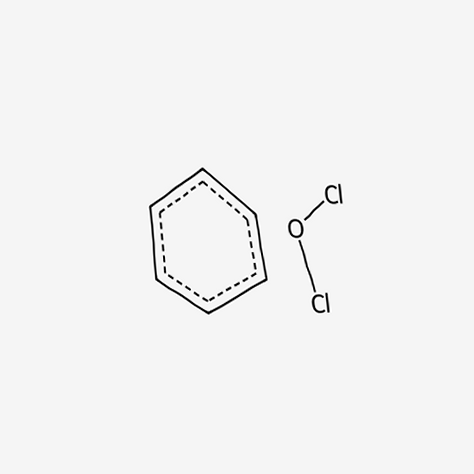 ClOCl.c1ccccc1